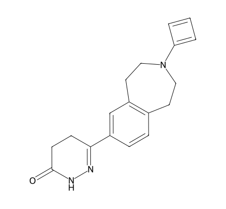 O=C1CCC(c2ccc3c(c2)CCN(C2=CC=C2)CC3)=NN1